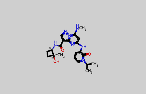 CNc1cc(Nc2cccn(C(C)C)c2=O)nc2c(C(=O)N[C@@H]3CC[C@@]3(C)O)cnn12